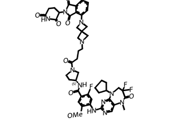 COc1cc(C(=O)N[C@H]2CCN(C(=O)CCCN3CC4(C3)CN(c3cccc5c3C(=O)N(C3CCC(=O)NC3=O)C5=O)C4)C2)c(F)cc1Nc1ncc2c(n1)N(C1CCCC1)CC(F)(F)C(=O)N2C